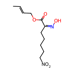 CC=CCOC(=O)C(CCCCC[N+](=O)[O-])=NO